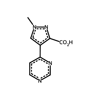 Cn1cc(-c2ccncn2)c(C(=O)O)n1